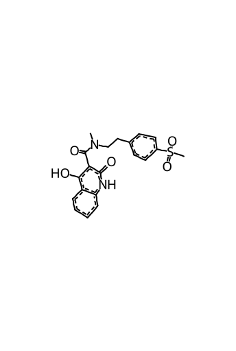 CN(CCc1ccc(S(C)(=O)=O)cc1)C(=O)c1c(O)c2ccccc2[nH]c1=O